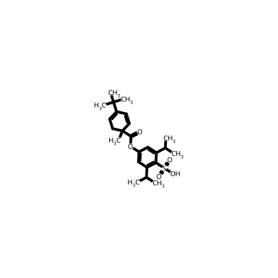 CC(C)c1cc(OC(=O)C2(C)C=CC(C(C)(C)C)=CC2)cc(C(C)C)c1S(=O)(=O)O